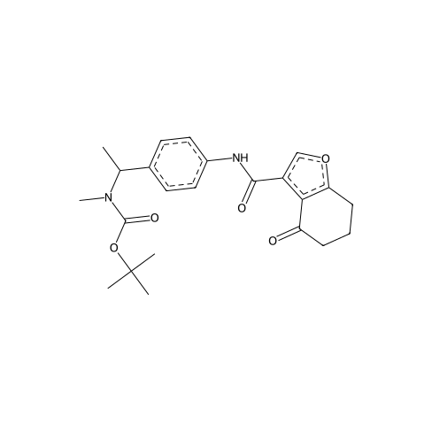 CC(c1ccc(NC(=O)c2coc3c2C(=O)CCC3)cc1)N(C)C(=O)OC(C)(C)C